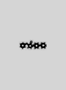 O=C1C(Cc2ccccc2)CCN1c1ccc(-c2ccncc2)cc1